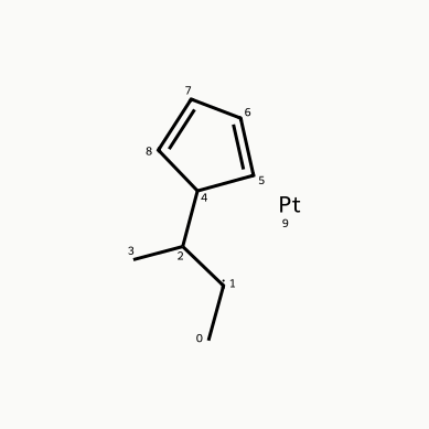 C[CH]C(C)C1C=CC=C1.[Pt]